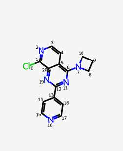 Clc1nccc2c(N3C[CH]C3)nc(-c3ccncc3)nc12